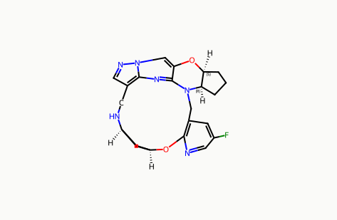 Fc1cnc2c(c1)CN1c3nc4c(cnn4cc3O[C@H]3CCC[C@H]31)CN[C@H]1C[C@H](C1)O2